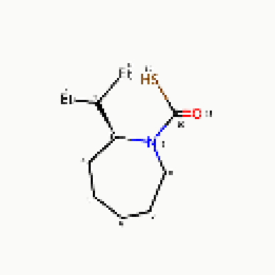 CCC(CC)[C@@H]1CCCCCN1C(=O)S